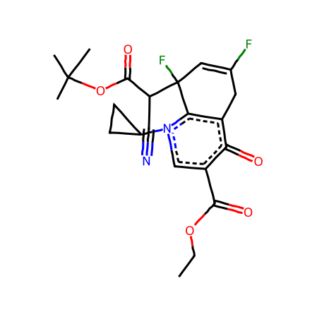 CCOC(=O)c1cn(C2CC2)c2c(c1=O)CC(F)=CC2(F)C(C#N)C(=O)OC(C)(C)C